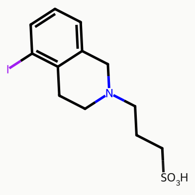 O=S(=O)(O)CCCN1CCc2c(I)cccc2C1